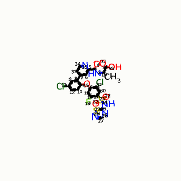 CC(NC(=O)c1cc(-c2cc(Cl)ccc2Oc2cc(F)c(S(=O)(=O)Nc3ncns3)cc2Cl)ccn1)C(=O)O